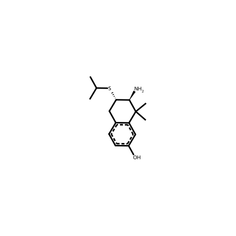 CC(C)S[C@H]1Cc2ccc(O)cc2C(C)(C)[C@@H]1N